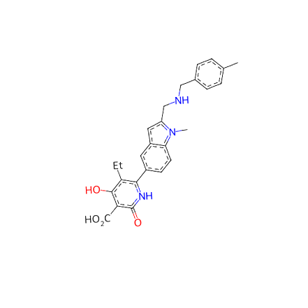 CCc1c(-c2ccc3c(c2)cc(CNCc2ccc(C)cc2)n3C)[nH]c(=O)c(C(=O)O)c1O